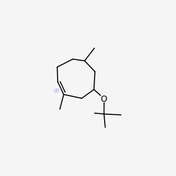 C/C1=C/CCC(C)CC(OC(C)(C)C)C1